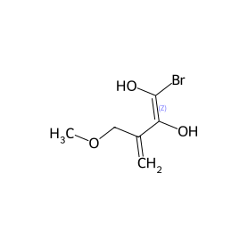 C=C(COC)/C(O)=C(\O)Br